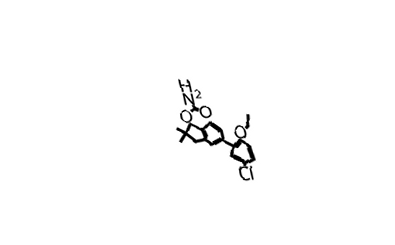 CCOc1ccc(Cl)cc1-c1ccc2c(c1)CC(C)(C)C2OC(N)=O